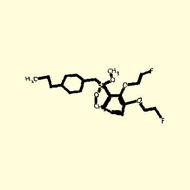 CCCC1CCC(C[Si](OC)(OC)c2cccc(OCCF)c2OCCF)CC1